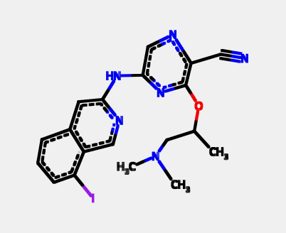 CC(CN(C)C)Oc1nc(Nc2cc3cccc(I)c3cn2)cnc1C#N